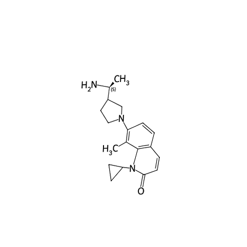 Cc1c(N2CCC([C@H](C)N)C2)ccc2ccc(=O)n(C3CC3)c12